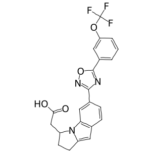 O=C(O)CC1CCc2cc3ccc(-c4noc(-c5cccc(OC(F)(F)F)c5)n4)cc3n21